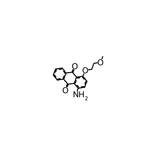 COCCOc1ccc(N)c2c1C(=O)c1ccccc1C2=O